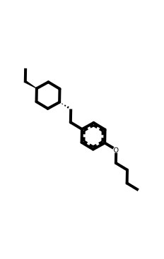 CCCCOc1ccc(CC[C@H]2CC[C@H](CC)CC2)cc1